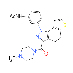 CC(=O)Nc1cccc(-n2nc(C(=O)N3CCN(C)CC3)c3c2-c2ccsc2CC3)c1